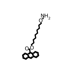 NCOCCCCCCCCCCOC(=O)c1c2ccccc2cc2ccccc12